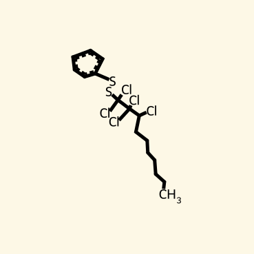 CCCCCCCC(Cl)C(Cl)(Cl)C(Cl)(Cl)SSc1ccccc1